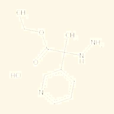 CCOC(=O)C(C)(NN)c1cccnc1.Cl